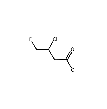 O=C(O)CC(Cl)CF